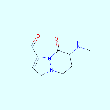 CNC1CCN2CC=C(C(C)=O)N2C1=O